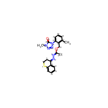 CC/C(=N\N=C1CCSc2ccccc21)OCc1c(C)cccc1-n1nnn(C)c1=O